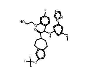 COc1cc(NC(C(=O)C2CCc3ccc(OC(F)(F)F)cc3CC2)c2ccc(F)cc2OCCO)cc(-n2cncn2)c1